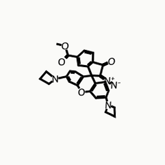 COC(=O)c1ccc2c(c1)C1(C(=[N+]=[N-])C2=O)c2ccc(N3CCC3)cc2Oc2cc(N3CCC3)ccc21